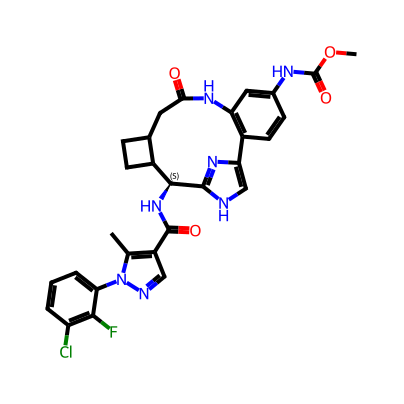 COC(=O)Nc1ccc2c(c1)NC(=O)CC1CCC1[C@H](NC(=O)c1cnn(-c3cccc(Cl)c3F)c1C)c1nc-2c[nH]1